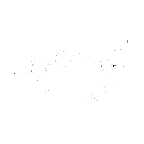 C=CCn1c(CCCc2ccc(-c3ccc(OC)c(CC(=O)O)c3)cc2)nn(Cc2ccc(C(C)(C)C)cc2)c1=O